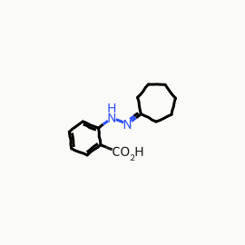 O=C(O)c1ccccc1NN=C1CCCCCC1